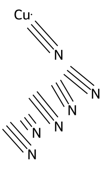 C#N.C#N.C#N.C#N.C#N.C#N.[Cu]